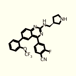 N#Cc1ccc(-c2nc(NC[C@H]3CCNC3)nc3ccc(-c4ccccc4OC(F)(F)F)cc23)cc1F